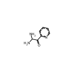 NC(N)C(=O)c1ccccn1